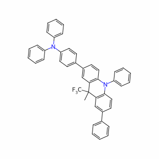 CC1(C(F)(F)F)c2cc(-c3ccccc3)ccc2N(c2ccccc2)c2ccc(-c3ccc(N(c4ccccc4)c4ccccc4)cc3)cc21